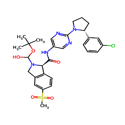 CC(C)(C)OC(O)N1Cc2cc(S(C)(=O)=O)ccc2[C@@H]1C(=O)Nc1cnc(N2CCC[C@@H]2c2cccc(Cl)c2)nc1